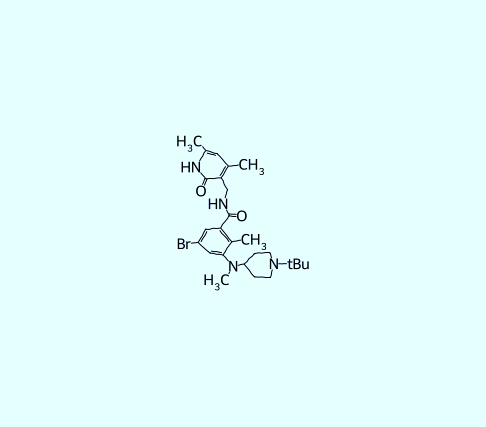 Cc1cc(C)c(CNC(=O)c2cc(Br)cc(N(C)C3CCN(C(C)(C)C)CC3)c2C)c(=O)[nH]1